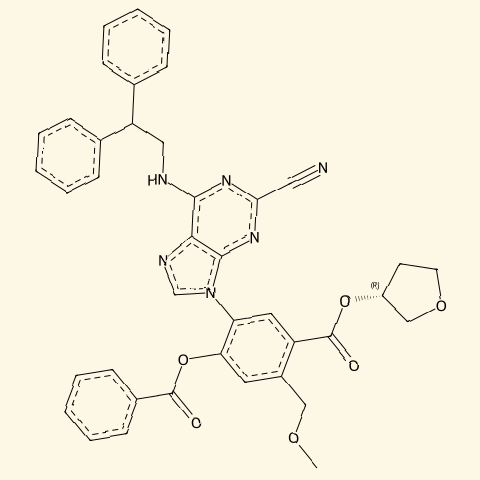 COCc1cc(OC(=O)c2ccccc2)c(-n2cnc3c(NCC(c4ccccc4)c4ccccc4)nc(C#N)nc32)cc1C(=O)O[C@@H]1CCOC1